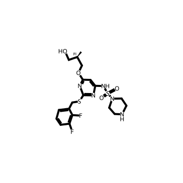 C[C@H](CO)COc1cc(NS(=O)(=O)N2CCNCC2)nc(SCc2cccc(F)c2F)n1